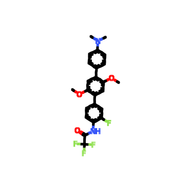 COc1cc(-c2ccc(NC(=O)C(F)(F)F)c(F)c2)c(OC)cc1-c1ccc(N(C)C)cc1